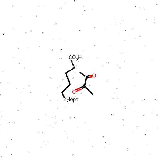 CC(=O)C(C)=O.CCCCCCCCCCCC(=O)O